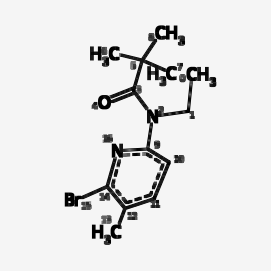 CCN(C(=O)C(C)(C)C)c1ccc(C)c(Br)n1